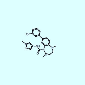 C[C@@H]1CCN(C)c2ccc(-c3cccc(Cl)c3)nc2N1C(=O)Nc1cnn(C)c1